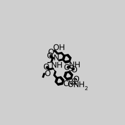 CCOC(=O)[C@H](CCc1ccccc1)N[C@@H](C)C(=O)N1Cc2cc(NS(=O)(=O)c3ccc(Cl)c(S(N)(=O)=O)c3)ccc2CC1C(=O)O